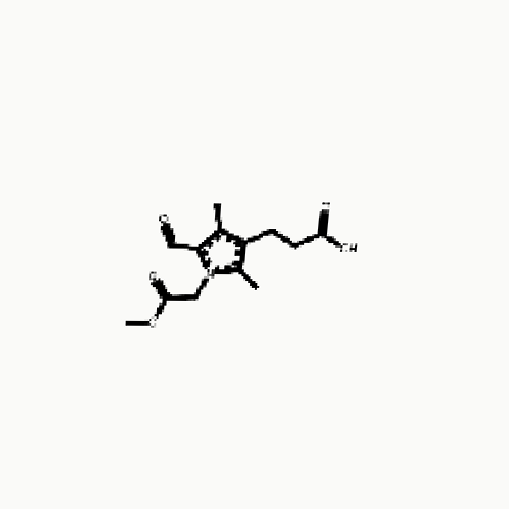 COC(=O)Cn1c(C)c(CCC(=O)O)c(C)c1C=O